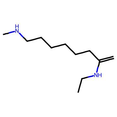 C=C(CCCCCCNC)NCC